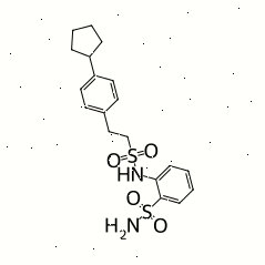 NS(=O)(=O)c1ccccc1NS(=O)(=O)CCc1ccc(C2CCCC2)cc1